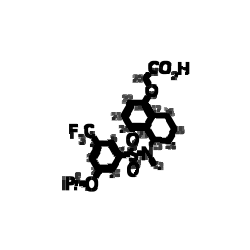 CC(C)Oc1cc(C(F)(F)F)cc(S(=O)(=O)N(C)[C@@H]2CCCc3c(OCC(=O)O)cccc32)c1